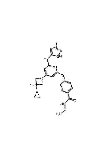 Cc1cc(Nc2cc(N3CC(F)(C4CC4)C3)cc(Sc3ccc(C(=O)NCC(F)(F)F)cc3)n2)[nH]n1